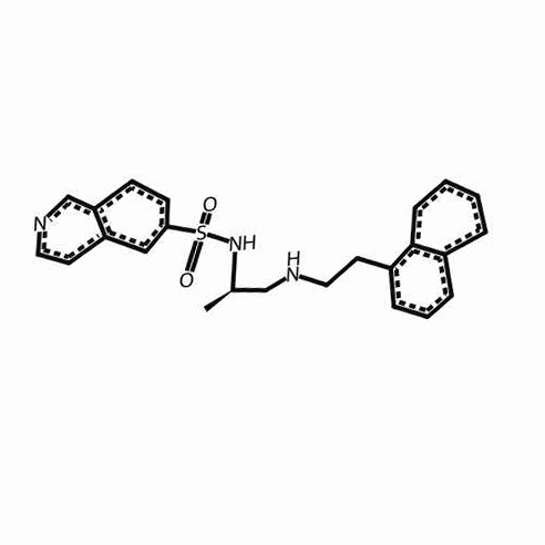 C[C@H](CNCCc1cccc2ccccc12)NS(=O)(=O)c1ccc2cnccc2c1